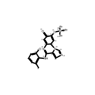 Cc1cccc(Cl)c1NC1=NC2=CC(=O)C(O[Si](C(C)C)(C(C)C)C(C)C)=CC2n2cncc21